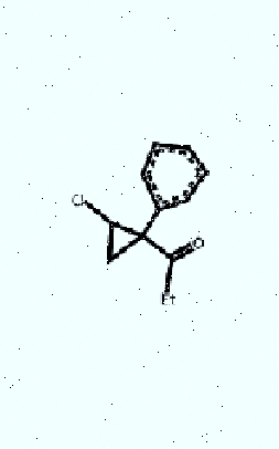 CCC(=O)C1(c2ccccc2)CC1Cl